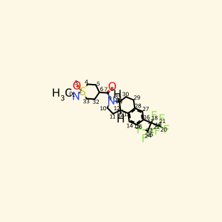 CN=S1(=O)CCC(C(=O)N2CC[C@H]3c4ccc(C(F)(C(F)(F)F)C(F)(F)F)cc4CC[C@H]32)CC1